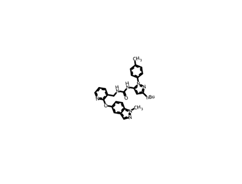 CCCCc1cc(NC(=O)NCc2cccnc2Oc2ccc3c(cnn3C)c2)n(-c2ccc(C)cc2)n1